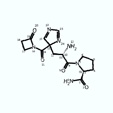 NC(=O)[C@@H]1CCCN1C(=O)[C@@H](N)CC1(C(=O)N2CCC2=O)C=NC=N1